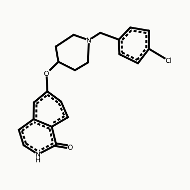 O=c1[nH]ccc2cc(OC3CCN(Cc4ccc(Cl)cc4)CC3)ccc12